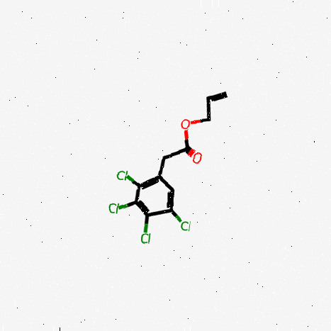 C=CCOC(=O)Cc1cc(Cl)c(Cl)c(Cl)c1Cl